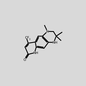 CN1CC(C)(C)Nc2cc3[nH]c(=O)cc(C(F)(F)F)c3cc21